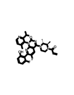 C=CC(=O)N1CCN(c2nc(=O)n(-c3c(C)ccnc3C(C)C)c3nc(-c4c(O)cccc4F)c(F)cc23)[C@H](C)[C@H]1C